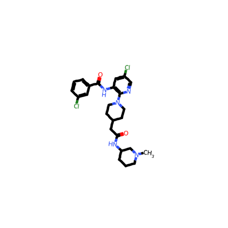 CN1CCCC(NC(=O)CC2CCN(c3ncc(Cl)cc3NC(=O)c3cccc(Cl)c3)CC2)C1